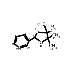 CC1(C)OC(c2cccnc2)OC1(C)C